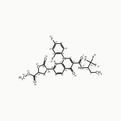 CCC(NC(=O)c1cn(-c2ccc(F)cc2F)c2nc(N3CC(C(=O)OC)OC3=O)ccc2c1=O)C(F)(F)F